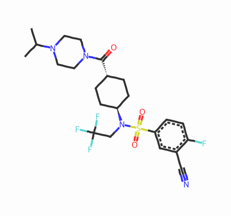 CC(C)N1CCN(C(=O)[C@H]2CC[C@H](N(CC(F)(F)F)S(=O)(=O)c3ccc(F)c(C#N)c3)CC2)CC1